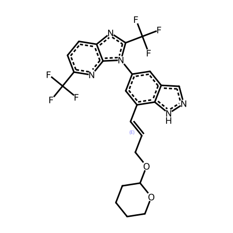 FC(F)(F)c1ccc2nc(C(F)(F)F)n(-c3cc(/C=C/COC4CCCCO4)c4[nH]ncc4c3)c2n1